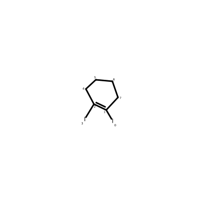 IC1=C(I)CCCC1